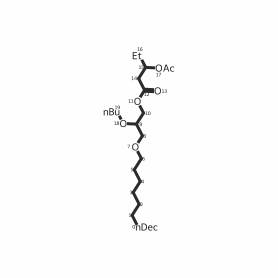 CCCCCCCCCCCCCCCCOCC(COC(=O)CC(CC)OC(C)=O)OCCCC